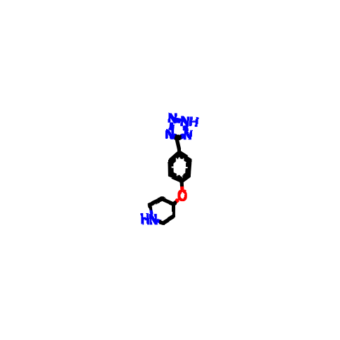 c1cc(-c2nn[nH]n2)ccc1OC1CCNCC1